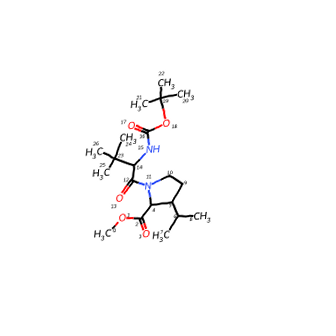 COC(=O)C1C(C(C)C)CCN1C(=O)C(NC(=O)OC(C)(C)C)C(C)(C)C